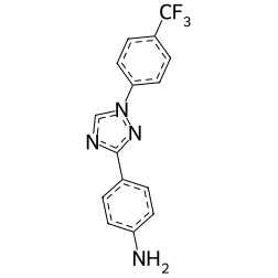 Nc1ccc(-c2ncn(-c3ccc(C(F)(F)F)cc3)n2)cc1